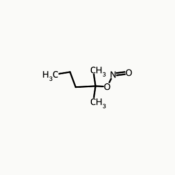 CCCC(C)(C)ON=O